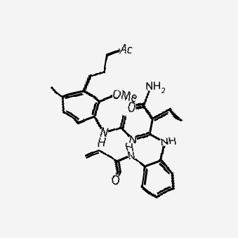 C=CC(=O)Nc1ccccc1NC(=N/C(=C)Nc1ccc(C)c(CCCC(C)=O)c1OC)/C(=C\C)C(N)=O